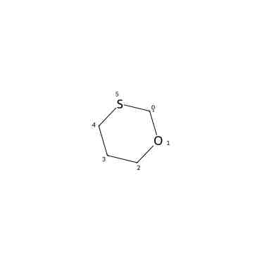 [CH]1OCCCS1